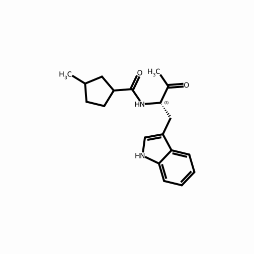 CC(=O)[C@H](Cc1c[nH]c2ccccc12)NC(=O)C1CCC(C)C1